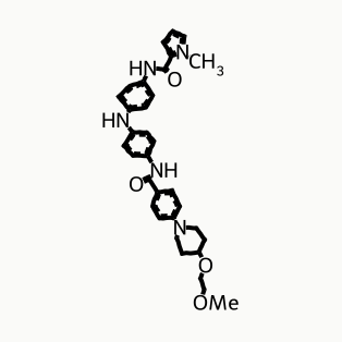 COCCOC1CCN(c2ccc(C(=O)Nc3ccc(Nc4ccc(NC(=O)c5cccn5C)cc4)cc3)cc2)CC1